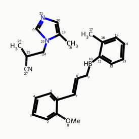 COc1ccccc1C=CCBc1ccccc1C.Cc1cncn1CC(C)C#N